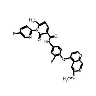 COc1cc2c(Oc3ccc(NC(=O)c4ccc(C)n(-c5ccc(F)cn5)c4=O)cc3F)ccnc2cn1